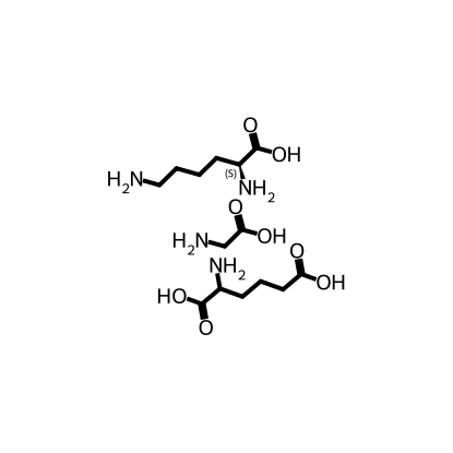 NC(CCCC(=O)O)C(=O)O.NCC(=O)O.NCCCC[C@H](N)C(=O)O